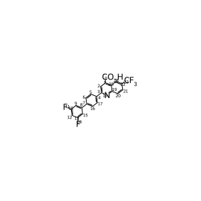 O=C(O)c1cc(-c2ccc(-c3cc(F)cc(F)c3)cc2)nc2ccc(C(F)(F)F)cc12